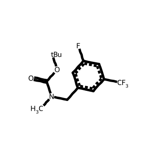 CN(Cc1cc(F)cc(C(F)(F)F)c1)C(=O)OC(C)(C)C